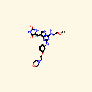 CCOCCNc1nc(Nc2cccc(OCCN3CCOCC3)c2)nc2c(/C=C3\NC(=O)NC3=O)cnn12